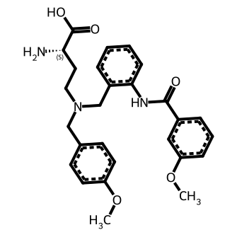 COc1ccc(CN(CC[C@H](N)C(=O)O)Cc2ccccc2NC(=O)c2cccc(OC)c2)cc1